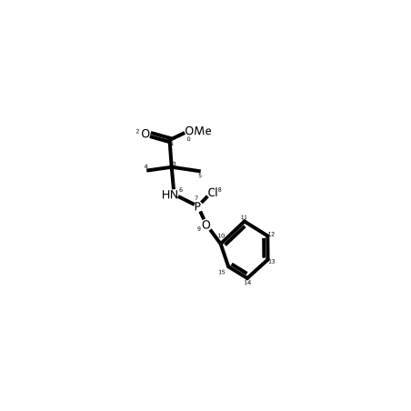 COC(=O)C(C)(C)NP(Cl)Oc1ccccc1